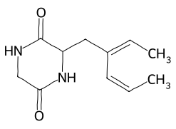 C/C=C\C(=C/C)CC1NC(=O)CNC1=O